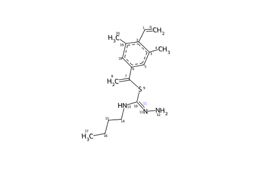 C=Cc1c(C)cc(C(=C)S/C(=N\N)NCCCC)cc1C